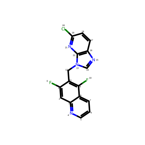 Fc1cc2ncccc2c(F)c1Cn1cnc2ccc(Cl)nc21